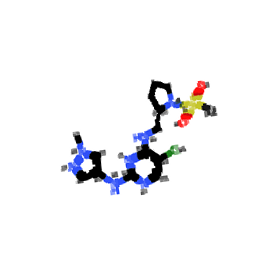 CCS(=O)(=O)N1CCC[C@@H]1CNc1nc(Nc2cnn(C)c2)ncc1Cl